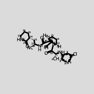 C[C@@H](Nc1cncc(Cl)c1)C(=O)N1[C@@H]2CC[C@H]([C@@H]1C(=O)N[C@@H](C#N)C[C@H]1CCCNC1=O)C(F)(F)C2